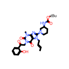 C/C=C/Cn1c(N2CCCC(NC(=O)OC(C)(C)C)C2)nc2c1c(=O)n(CC(=O)c1ccccc1O)c(=O)n2C